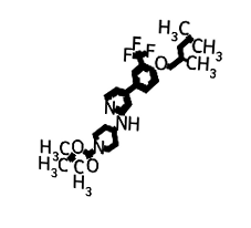 CC(C)C[C@@H](C)COc1ccc(-c2ccnc(NC3CCN(C(=O)OC(C)(C)C)CC3)c2)cc1C(F)(F)F